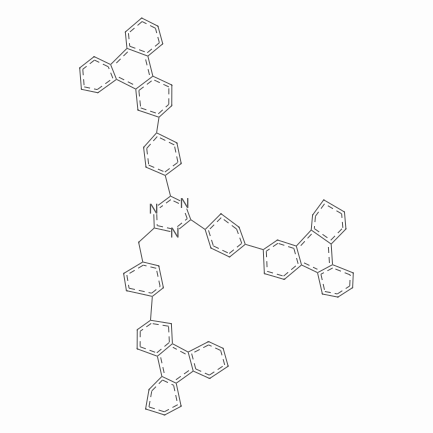 c1ccc2c(c1)c1ccccc1c1cc(-c3ccc(Cc4nc(-c5ccc(-c6ccc7c8ccccc8c8ccccc8c7c6)cc5)nc(-c5ccc(-c6ccc7c8ccccc8c8ccccc8c7c6)cc5)n4)cc3)ccc21